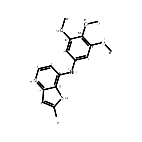 COc1cc(Nc2ccnc3cc(I)sc23)cc(OC)c1OC